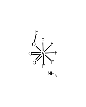 N.[O]=[V](=[O])([F])([F])([F])([F])([F])[O]F